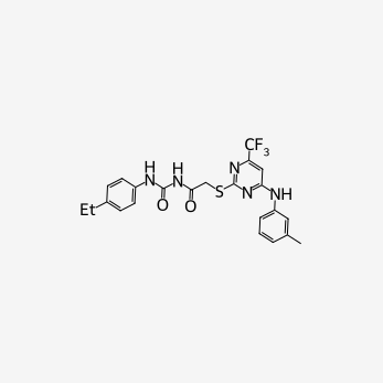 CCc1ccc(NC(=O)NC(=O)CSc2nc(Nc3cccc(C)c3)cc(C(F)(F)F)n2)cc1